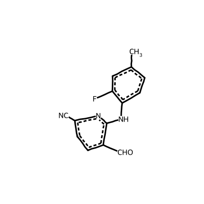 Cc1ccc(Nc2nc(C#N)ccc2C=O)c(F)c1